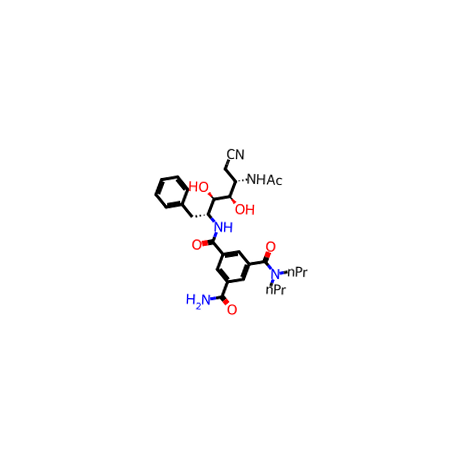 CCCN(CCC)C(=O)c1cc(C(N)=O)cc(C(=O)N[C@H](Cc2ccccc2)[C@@H](O)[C@H](O)[C@H](CC#N)NC(C)=O)c1